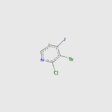 Clc1nc[c]c(I)c1Br